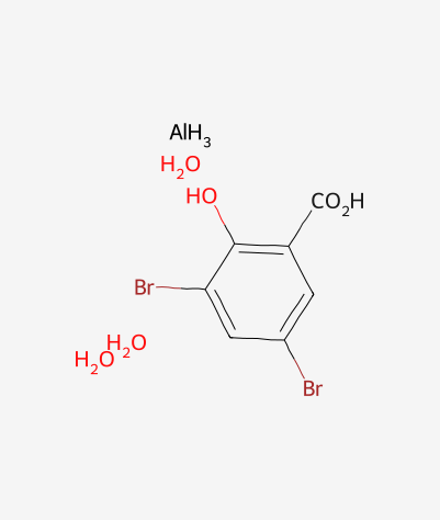 O.O.O.O=C(O)c1cc(Br)cc(Br)c1O.[AlH3]